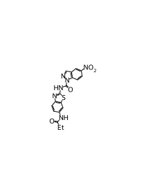 CCC(=O)Nc1ccc2nc(NC(=O)n3ncc4cc([N+](=O)[O-])ccc43)sc2c1